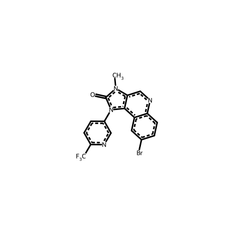 Cn1c(=O)n(-c2ccc(C(F)(F)F)nc2)c2c3cc(Br)ccc3ncc21